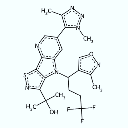 Cc1nocc1C(CCC(F)(F)F)n1c2cc(-c3c(C)nnn3C)cnc2c2snc(C(C)(C)O)c21